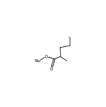 CC(CC[S])C(=O)OC(C)(C)C